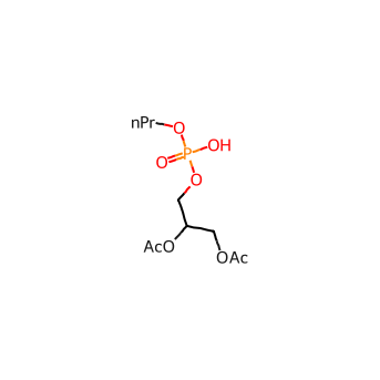 CCCOP(=O)(O)OCC(COC(C)=O)OC(C)=O